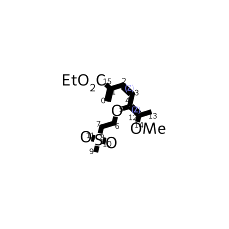 C=C(/C=C\C(OCCS(C)(=O)=O)=C(/C)OC)C(=O)OCC